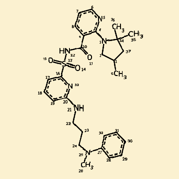 CC1CN(c2ncccc2C(=O)NS(=O)(=O)c2cccc(NCCCN(C)c3ccccc3)n2)C(C)(C)C1